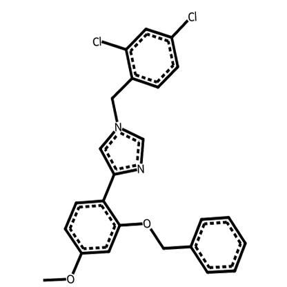 COc1ccc(-c2cn(Cc3ccc(Cl)cc3Cl)cn2)c(OCc2ccccc2)c1